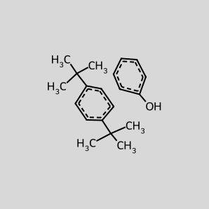 CC(C)(C)c1ccc(C(C)(C)C)cc1.Oc1ccccc1